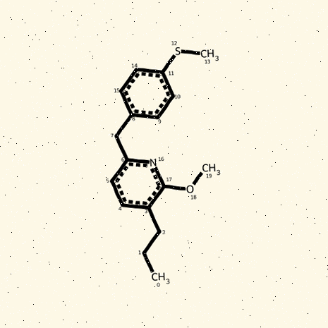 CCCc1ccc(Cc2ccc(SC)cc2)nc1OC